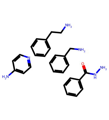 NCCc1ccccc1.NCc1ccccc1.NNC(=O)c1ccccc1.Nc1ccncc1